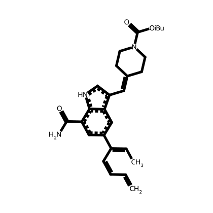 C=C/C=C\C(=CC)c1cc(C(N)=O)c2[nH]cc(C=C3CCN(C(=O)OCC(C)C)CC3)c2c1